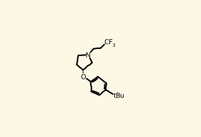 CC(C)(C)c1ccc(O[C@@H]2CCN(CCC(F)(F)F)C2)cc1